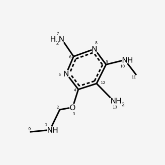 CNCOc1nc(N)nc(NC)c1N